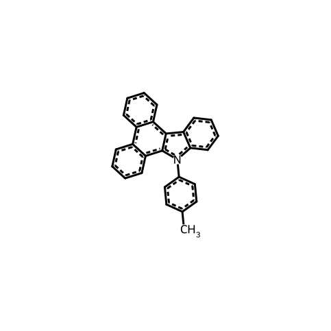 Cc1ccc(-n2c3ccccc3c3c4ccccc4c4ccccc4c32)cc1